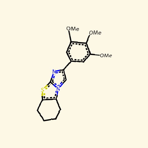 COc1cc(-c2cn3c4c(sc3n2)CCCC4)cc(OC)c1OC